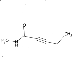 CCC#CC(=O)NC